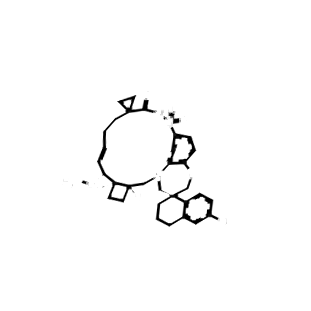 CO[C@@H]1/C=C/CCC2(CC2)C(=O)NS(=O)(=O)c2ccc3c(c2)N(C[C@@H]2CC[C@H]21)C[C@@]1(CCCc2cc(Cl)ccc21)CO3